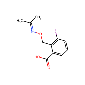 CC(C)=NOCc1c(I)cccc1C(=O)O